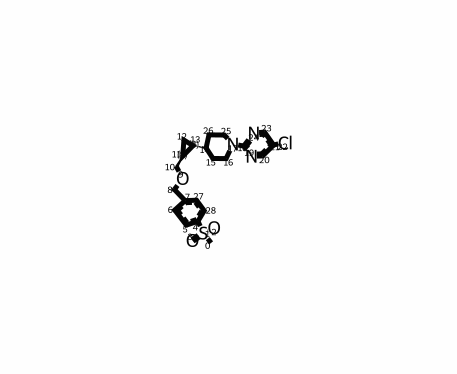 CS(=O)(=O)c1ccc(COC[C@H]2C[C@@H]2C2CCN(c3ncc(Cl)cn3)CC2)cc1